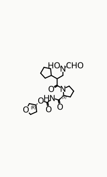 O=CN(O)CC(C(=O)N1CCC[C@H]1C(=O)NC(=O)O[C@@H]1CCOC1)C1CCCC1